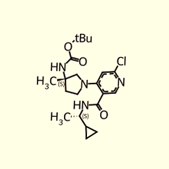 C[C@H](NC(=O)c1cnc(Cl)cc1N1CC[C@](C)(NC(=O)OC(C)(C)C)C1)C1CC1